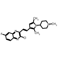 Cc1cc(C=Cc2nc3cc(F)ccc3nc2Cl)c(C)n1C1CCN(C)CC1